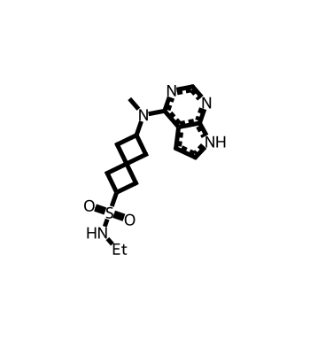 CCNS(=O)(=O)C1CC2(CC(N(C)c3ncnc4[nH]ccc34)C2)C1